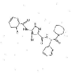 O=C(Nc1[nH]nc(C(=O)N[C@H](C(=O)N2CCCCC2)c2ccccc2)c1Br)c1ccccc1Cl